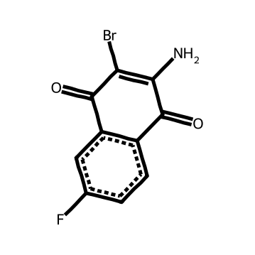 NC1=C(Br)C(=O)c2cc(F)ccc2C1=O